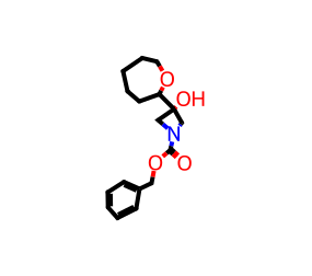 O=C(OCc1ccccc1)N1CC(O)(C2CCCCCO2)C1